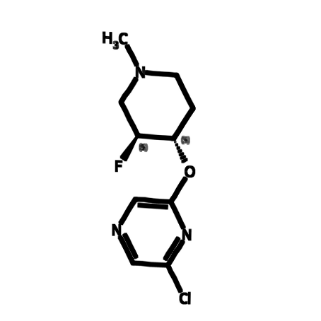 CN1CC[C@H](Oc2cncc(Cl)n2)[C@@H](F)C1